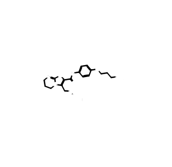 CCOCC1=C(C(=O)Nc2ccc(SCCCC(=O)O)cc2)SC2=NCCCN21.Cl